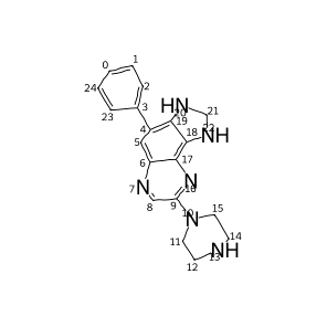 c1ccc(-c2cc3ncc(N4CCNCC4)nc3c3c2NCN3)cc1